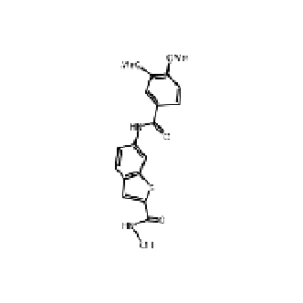 COc1ccc(C(=O)Nc2ccc3cc(C(=O)NO)sc3c2)cc1OC